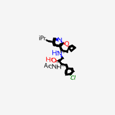 CC(=O)N[C@@H](Cc1ccc(Cl)cc1)[C@@H](O)CN[C@H]1CC2(CCC2)Oc2ncc(CC(C)C)cc21